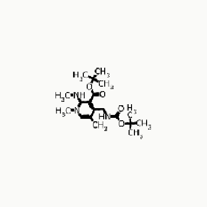 CNC1C(C(=O)OC(C)(C)C)=C(CNC(=O)OC(C)(C)C)C(C)=CN1C